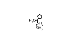 CN([SiH2]C[SiH3])C1CCCC1